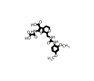 COc1ccc(NC(=O)NCC2OCCc3c2sc(NC(=O)C(=O)O)c3C(=O)O)c(OC)c1